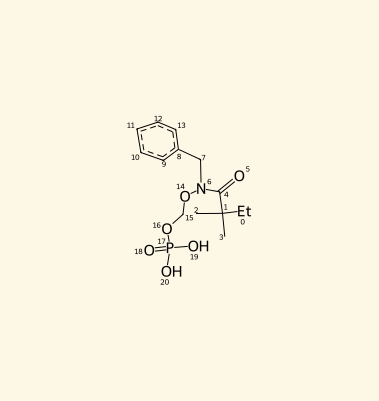 CCC(C)(C)C(=O)N(Cc1ccccc1)OCOP(=O)(O)O